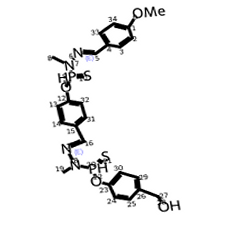 COc1ccc(/C=N/N(C)[PH](=S)Oc2ccc(/C=N/N(C)[PH](=S)Oc3ccc(CO)cc3)cc2)cc1